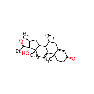 CCC(=O)[C@@]1(O)[C@@H](C)CC2C3C(=CC[C@@]21C)[C@@]1(C)CCC(=O)C=C1CC3C